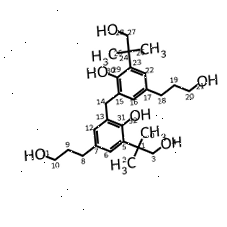 CC(C)(CO)c1cc(CCCO)cc(Cc2cc(CCCO)cc(C(C)(C)CO)c2O)c1O